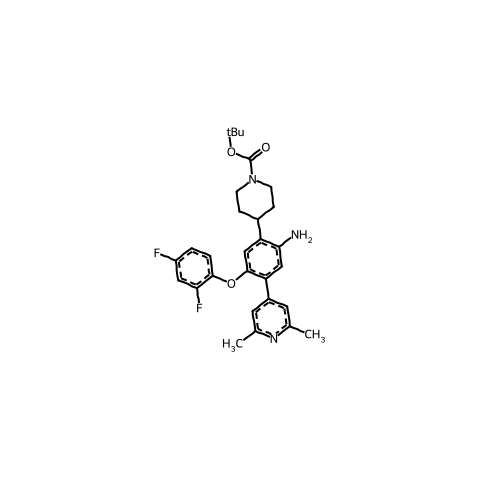 Cc1cc(-c2cc(N)c(C3CCN(C(=O)OC(C)(C)C)CC3)cc2Oc2ccc(F)cc2F)cc(C)n1